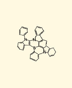 C1=Cc2c(c3cc4c5ccccc5n5c4c4c3n2-c2ccccc2B4c2c-5n(-c3ccccc3)c3ccccc23)CC1